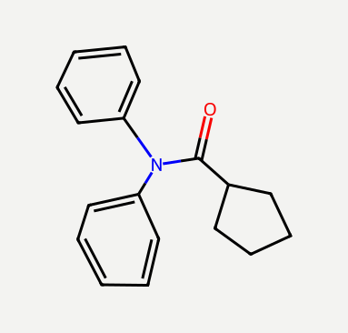 O=C(C1CCCC1)N(c1ccccc1)c1ccccc1